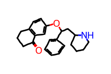 O=C1CCCc2ccc(OC(CC3CCCCN3)c3ccccc3)cc21